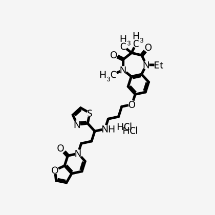 CCN1C(=O)C(C)(C)C(=O)N(C)c2cc(OCCCNC(CCn3ccc4ccoc4c3=O)c3nccs3)ccc21.Cl.Cl